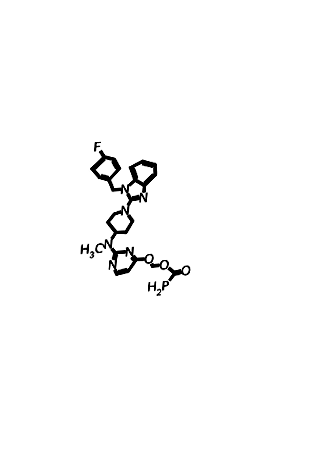 CN(c1nccc(OCOC(=O)P)n1)C1CCN(c2nc3ccccc3n2Cc2ccc(F)cc2)CC1